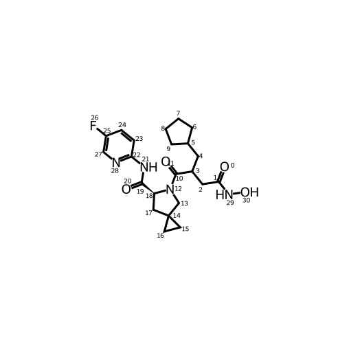 O=C(CC(CC1CCCC1)C(=O)N1CC2(CC2)C[C@H]1C(=O)Nc1ccc(F)cn1)NO